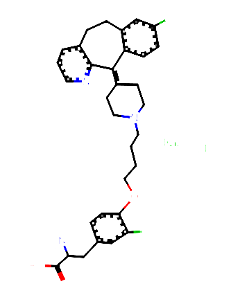 Cl.Cl.Cl.NC(Cc1ccc(OCCCCN2CCC(=C3c4ccc(Cl)cc4CCc4cccnc43)CC2)c(Cl)c1)C(=O)O